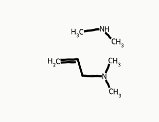 C=CCN(C)C.CNC